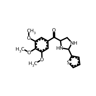 COc1cc(C(=O)C2CNC(c3cccs3)N2)cc(OC)c1OC